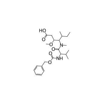 CCC(C)C(C(CC(=O)O)OC)N(C)C(=O)C(NC(=O)OCc1ccccc1)C(C)C